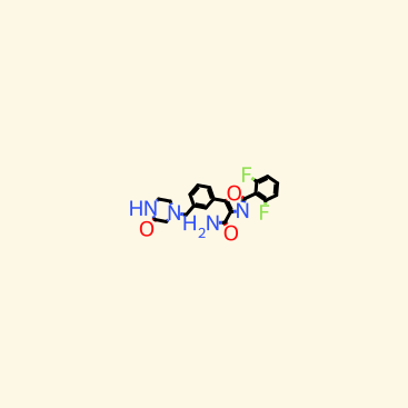 NC(=O)c1nc(-c2c(F)cccc2F)oc1-c1cccc(CN2CCNC(=O)C2)c1